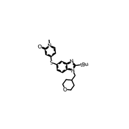 Cn1ccc(Sc2ccc3c(c2)nc(C(C)(C)C)n3CC2CCOCC2)cc1=O